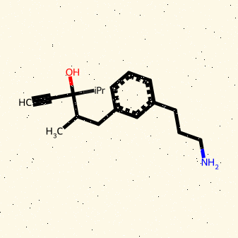 C#CC(O)(C(C)C)C(C)Cc1cccc(CCCN)c1